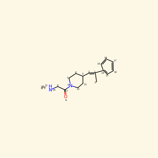 C/C(=C\C1CCN(C(=O)CNC(C)C)CC1)c1ccccc1